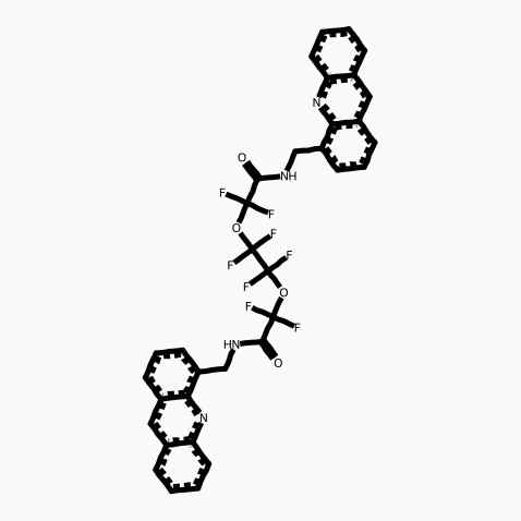 O=C(NCc1cccc2cc3ccccc3nc12)C(F)(F)OC(F)(F)C(F)(F)OC(F)(F)C(=O)NCc1cccc2cc3ccccc3nc12